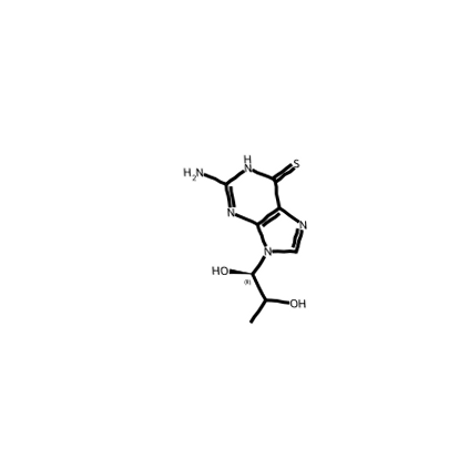 CC(O)[C@@H](O)n1cnc2c(=S)[nH]c(N)nc21